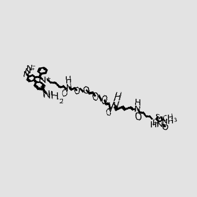 C[C@]12CS[C@@H](CCCCC(=O)NCCCCCNC(=O)CCOCCOCCOCCOCCNC(=O)CCCCC[n+]3c(-c4ccccc4)c4cc(N=[N+]=[N-])ccc4c4ccc(N)cc43)[C@H]1NC(=O)N2